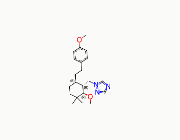 COc1ccc(CC[C@@H]2CCC(C)(C)[C@H](OC)[C@H]2Cn2cncn2)cc1